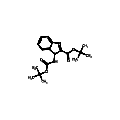 CC(C)(C)OC(=O)NC1C(C(=O)OC(C)(C)C)=Nc2ccccc21